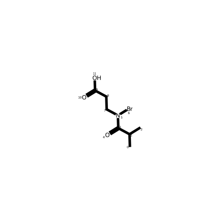 CC(C)C(=O)N(Br)CCC(=O)O